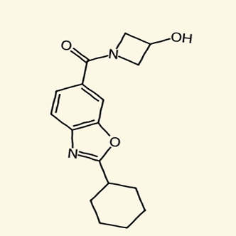 O=C(c1ccc2nc(C3CCCCC3)oc2c1)N1CC(O)C1